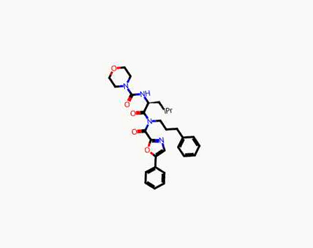 CC(C)C[C@H](NC(=O)N1CCOCC1)C(=O)N(CCCc1ccccc1)C(=O)c1ncc(-c2ccccc2)o1